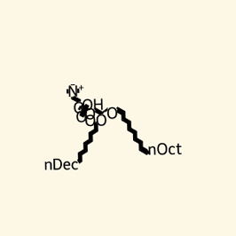 CCCCCCCC/C=C\CCCCCC/C=C\OC[C@H](COP(=O)(O)OCC[N+](C)(C)C)OC(=O)CCCCCCCCCCCCCCCCC